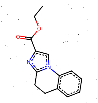 CCOC(=O)c1cn2c(n1)CCc1ccccc1-2